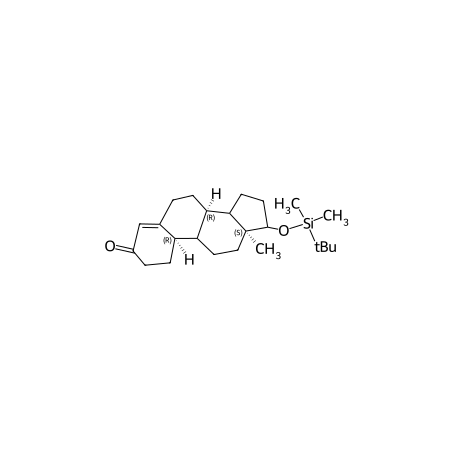 CC(C)(C)[Si](C)(C)OC1CCC2[C@@H]3CCC4=CC(=O)CC[C@@H]4C3CC[C@]12C